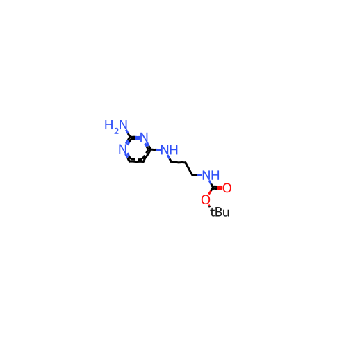 CC(C)(C)OC(=O)NCCCNc1ccnc(N)n1